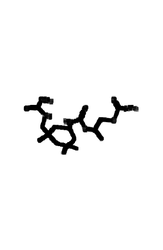 CNC(=O)OCC(C)OC(=O)NC1CC(C)(C)CC(C)(CNC(=O)OC)C1